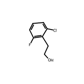 OCCc1c(F)cccc1Cl